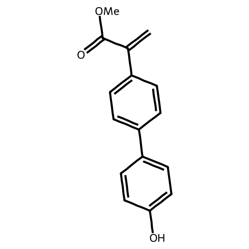 C=C(C(=O)OC)c1ccc(-c2ccc(O)cc2)cc1